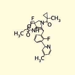 CCS(=O)(=O)N[C@@H]1[C@H](Cc2cccc(-c3cc(C)ccn3)c2F)N(C(=O)C2(C)CC2)CC1(F)F